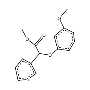 COC(=O)C(Oc1cccc(OC)c1)c1cccnc1